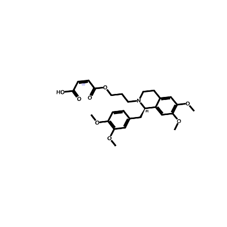 COc1ccc(C[C@@H]2c3cc(OC)c(OC)cc3CCN2CCCOC(=O)/C=C\C(=O)O)cc1OC